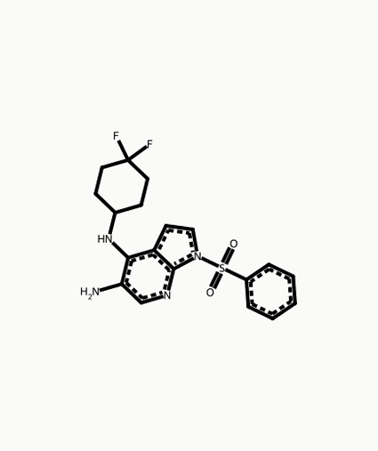 Nc1cnc2c(ccn2S(=O)(=O)c2ccccc2)c1NC1CCC(F)(F)CC1